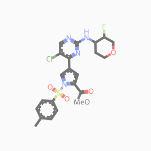 COC(=O)c1cc(-c2nc(NC3CCOCC3F)ncc2Cl)cn1S(=O)(=O)c1ccc(C)cc1